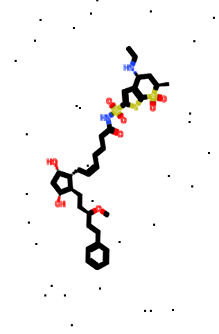 CCN[C@@H]1C[C@@H](C)S(=O)(=O)c2sc(S(=O)(=O)NC(=O)CCC/C=C\C[C@@H]3[C@@H](CC[C@H](CCc4ccccc4)OC)[C@H](O)C[C@@H]3O)cc21